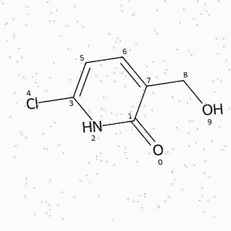 O=c1[nH]c(Cl)ccc1CO